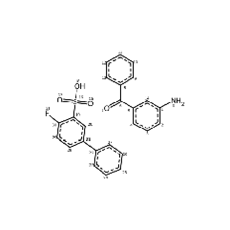 Nc1cccc(C(=O)c2ccccc2)c1.O=S(=O)(O)c1cc(-c2ccccc2)ccc1F